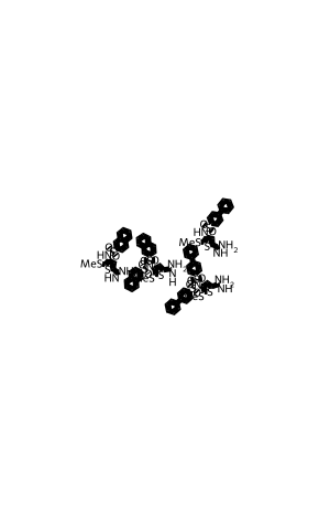 CSc1sc(C(=N)N)cc1N(S(=O)(=O)c1ccc(-c2ccccc2)cc1)S(=O)(=O)c1ccc(-c2ccccc2)cc1.CSc1sc(C(=N)N)cc1N(S(=O)(=O)c1ccc2ccccc2c1)S(=O)(=O)c1ccc2ccccc2c1.CSc1sc(C(=N)N)cc1NS(=O)(=O)c1ccc(-c2ccccc2)cc1.CSc1sc(C(=N)N)cc1NS(=O)(=O)c1ccc2ccccc2c1